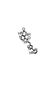 O=C1CNc2c(ncnc2C(=O)NCc2cc(-c3ncc[nH]3)no2)N1